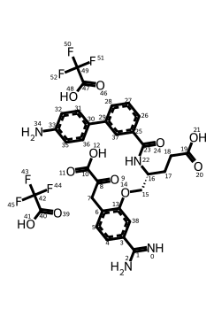 N=C(N)c1ccc(CC(=O)C(=O)O)c(OC[C@@H](CCC(=O)O)NC(=O)c2cccc(-c3ccc(N)cc3)c2)c1.O=C(O)C(F)(F)F.O=C(O)C(F)(F)F